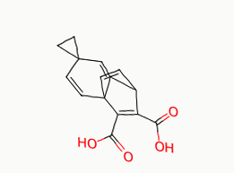 O=C(O)C1=C(C(=O)O)C23C=CC1C2=CC1(C=C3)CC1